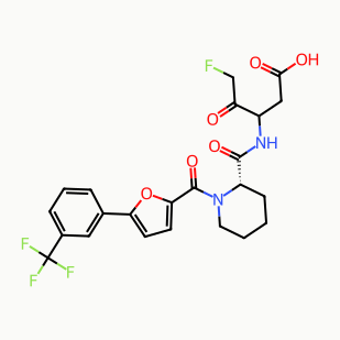 O=C(O)CC(NC(=O)[C@@H]1CCCCN1C(=O)c1ccc(-c2cccc(C(F)(F)F)c2)o1)C(=O)CF